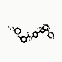 N[C@@H]1CCCN(Cc2cccc(C(=O)Nc3ccc(-c4cc5c(N6CCOCC6)ncnc5[nH]4)cc3)c2)C1